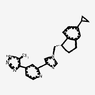 FC(F)(F)c1[nH]nnc1-c1ccnc(-c2cn(C[C@H]3CCc4cc(C5CC5)ccc43)cn2)c1